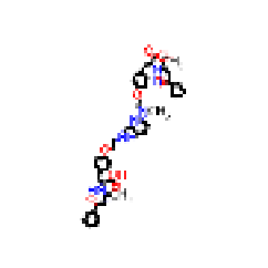 C/C(=C/C(=O)c1ccccc1)NC(Cc1ccc(OCCNCc2cccc(N(C)CCOc3ccc(CC(N/C(C)=C\C(=O)c4ccccc4)C(=O)O)cc3)n2)cc1)C(=O)O